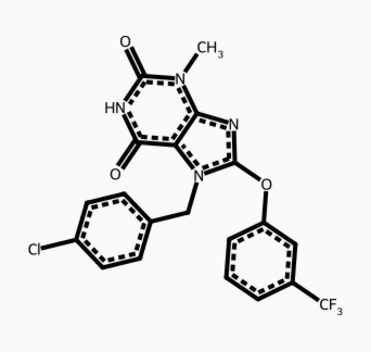 Cn1c(=O)[nH]c(=O)c2c1nc(Oc1cccc(C(F)(F)F)c1)n2Cc1ccc(Cl)cc1